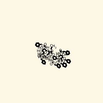 C=CCOC1C(OC2C(O)C(NC(=O)OCc3ccccc3)CC(NC(=O)OCc3ccccc3)C2OC2OC3COC(c4ccccc4)OC3C(O)C2NC(=O)OCc2ccccc2)OC(CO[Si](C)(C)C(C)(C)C)C1OC1OC(CNC(=O)OCc2ccccc2)C(O)C(O)C1NC(=O)OCc1ccccc1